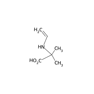 C=CNC(C)(C)C(=O)O